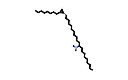 CCCCCCCCCC(CCCCCCCCCCC[C@H]1CC1CCCCCCCC)N(C)C